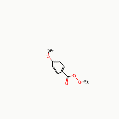 [CH2]COOC(=O)c1ccc(OCCC)cc1